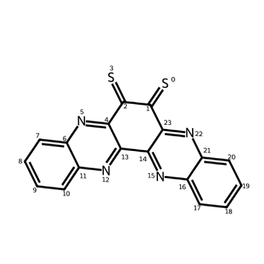 S=C1C(=S)c2nc3ccccc3nc2-c2nc3ccccc3nc21